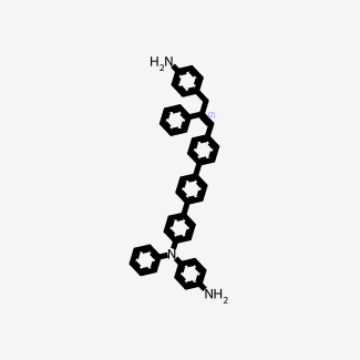 Nc1ccc(C/C(=C/c2ccc(-c3ccc(-c4ccc(N(c5ccccc5)c5ccc(N)cc5)cc4)cc3)cc2)c2ccccc2)cc1